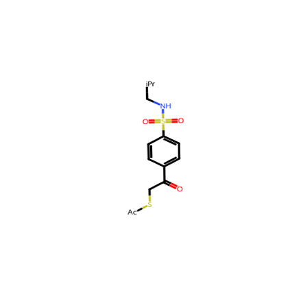 CC(=O)SCC(=O)c1ccc(S(=O)(=O)NCC(C)C)cc1